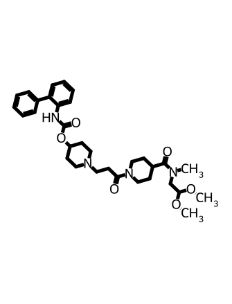 COC(CN(C)C(=O)C1CCN(C(=O)CCN2CCC(OC(=O)Nc3ccccc3-c3ccccc3)CC2)CC1)OC